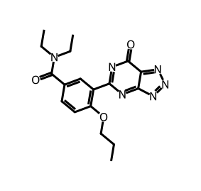 CCCOc1ccc(C(=O)N(CC)CC)cc1C1=NC(=O)C2=NN=NC2=N1